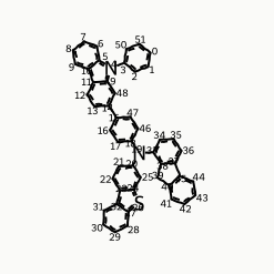 c1ccc(-n2c3ccccc3c3ccc(-c4ccc(N(c5ccc6c(c5)sc5ccccc56)c5cccc6c5Cc5ccccc5-6)cc4)cc32)cc1